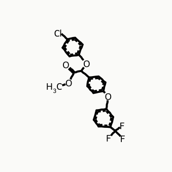 COC(=O)C(Oc1ccc(Cl)cc1)c1ccc(Oc2cccc(C(F)(F)F)c2)cc1